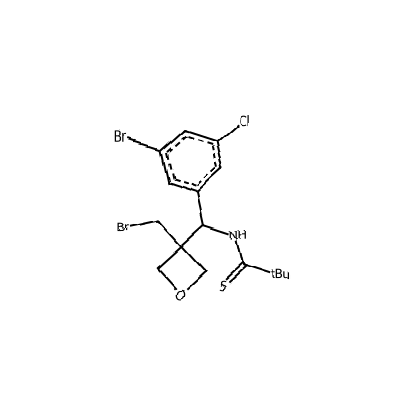 CC(C)(C)C(=S)NC(c1cc(Cl)cc(Br)c1)C1(CBr)COC1